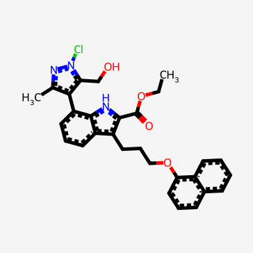 CCOC(=O)c1[nH]c2c(-c3c(C)nn(Cl)c3CO)cccc2c1CCCOc1cccc2ccccc12